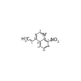 C=Cc1ccnc2c([N+](=O)[O-])cccc12